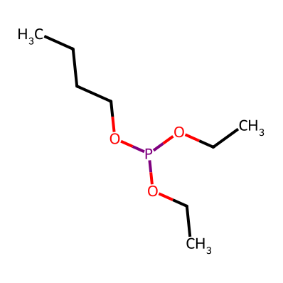 CCCCOP(OCC)OCC